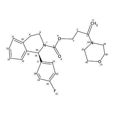 C=C(CCOC(=O)N1CCc2ccccc2[C@@H]1c1ccc(F)cc1)N1CCOCC1